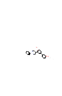 COc1cccc(-c2ccc(OC)c(C3CCN([C@H]4C[C@H]5CC[C@H]4C5)CC3)c2)c1